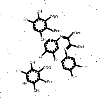 CCCCCCCCC(=Nc1ccc(CC)c(CC)c1)C(CCCCCCCC)=Nc1ccc(CCC)c(CCC)c1.CCCCCc1c(C)cc(O)c(O)c1C(=O)[O-].CCCCCc1c(C)cc(O)c(O)c1C(=O)[O-].[Ni+2]